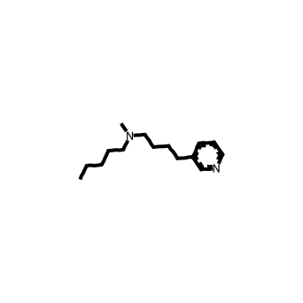 CCCCCN(C)CCCCc1cccnc1